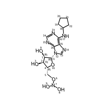 O[C@@H]1[C@H](O)[C@@H](CON(O)O)O[C@H]1n1cnc2c(NC3CCCC3)ncnc21